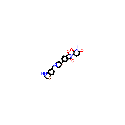 O=C1CCC(N2C(=O)c3ccc(C4(O)CCN(Cc5ccc6c(c5)NCCS6)CC4)cc3C2=O)C(=O)N1